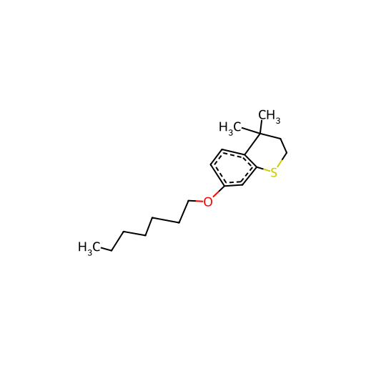 CCCCCCCOc1ccc2c(c1)SCCC2(C)C